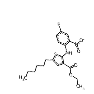 CCCCCCc1cc(C(=O)OCC)c(Nc2ccc(F)cc2[N+](=O)[O-])s1